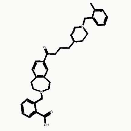 Cc1ccccc1CN1CCC(CCCC(=O)c2ccc3c(c2)CCN(Cc2ccccc2C(=O)O)CC3)CC1